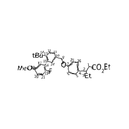 CCOC(=O)C[C@@H](CC)c1ccc(OCc2ccc(C(C)(C)C)c(-c3cc(OC)ccc3F)c2)cc1